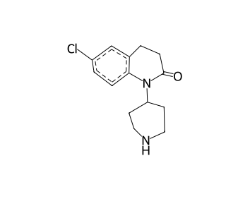 O=C1CCc2cc(Cl)ccc2N1C1CCNCC1